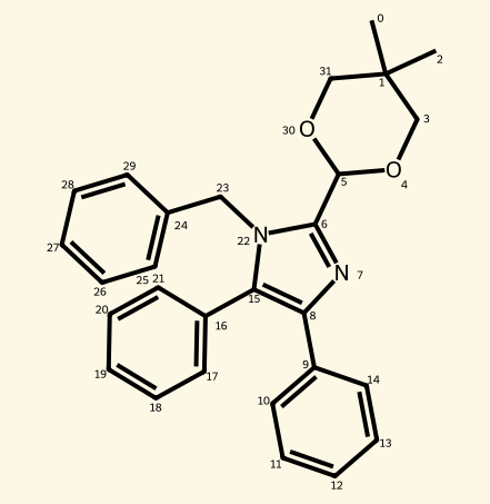 CC1(C)COC(c2nc(-c3ccccc3)c(-c3ccccc3)n2Cc2ccccc2)OC1